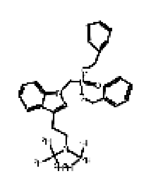 [2H]C([2H])([2H])N(CCc1cn(CP(=O)(OCc2ccccc2)OCc2ccccc2)c2ccccc12)C([2H])([2H])[2H]